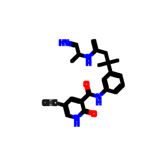 C=C(CC(C)(C)c1cccc(NC(=O)c2cc(C=O)c[nH]c2=O)c1)NC(C)C=N